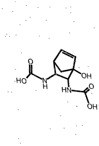 O=C(O)NC1C2C=CC(O)(C2)C1NC(=O)O